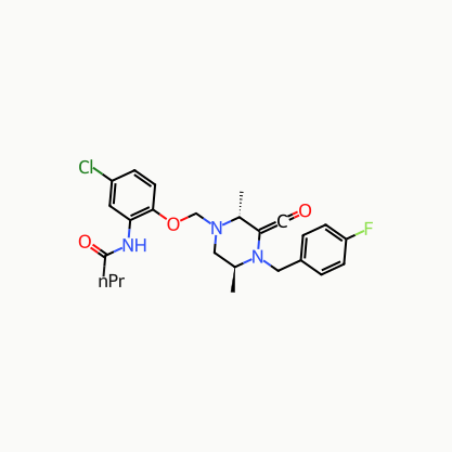 CCCC(=O)Nc1cc(Cl)ccc1OCN1C[C@H](C)N(Cc2ccc(F)cc2)C(=C=O)[C@H]1C